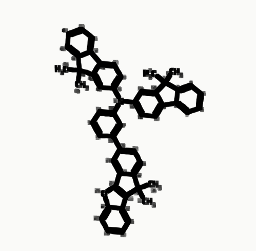 CC1(C)c2ccccc2-c2ccc(N(c3cccc(-c4ccc5c(c4)-c4oc6ccccc6c4C5(C)C)c3)c3ccc4c(c3)C(C)(C)c3ccccc3-4)cc21